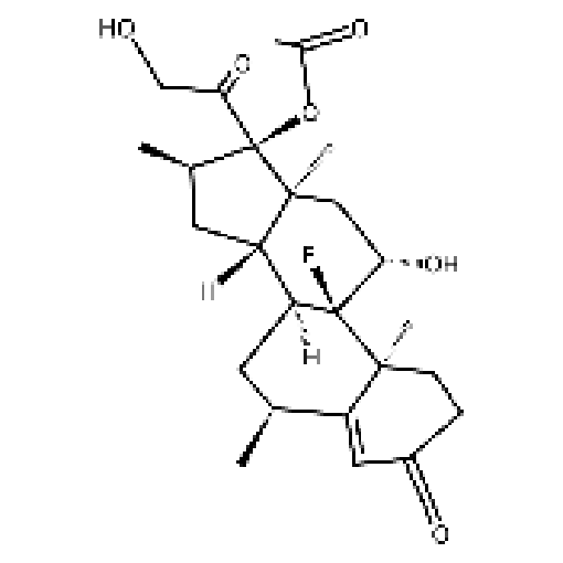 CC(=O)O[C@]1(C(=O)CO)[C@H](C)C[C@H]2[C@@H]3C[C@H](C)C4=CC(=O)CC[C@]4(C)[C@@]3(F)[C@@H](O)C[C@@]21C